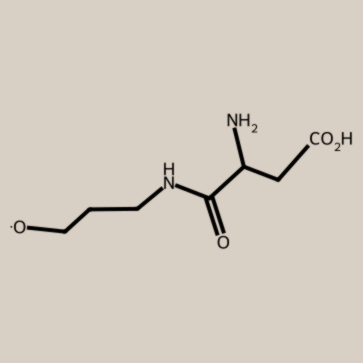 NC(CC(=O)O)C(=O)NCCC[O]